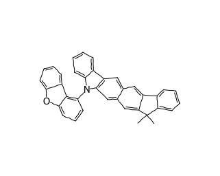 CC1(C)c2ccccc2-c2cc3cc4c5ccccc5n(-c5cccc6oc7ccccc7c56)c4cc3cc21